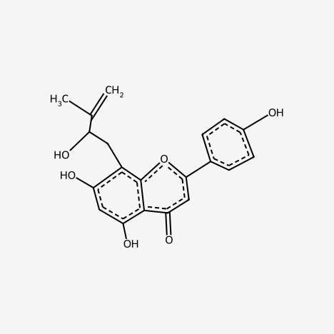 C=C(C)C(O)Cc1c(O)cc(O)c2c(=O)cc(-c3ccc(O)cc3)oc12